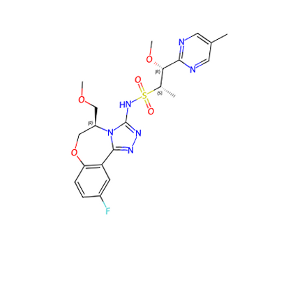 COC[C@@H]1COc2ccc(F)cc2-c2nnc(NS(=O)(=O)[C@@H](C)[C@H](OC)c3ncc(C)cn3)n21